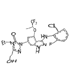 CCn1c(CO)nn(-c2cc(O[C@@H](C)C(F)(F)F)c3c(Nc4c(F)cccc4Cl)n[nH]c3c2)c1=O